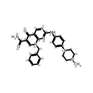 CN1CCN(c2ccc(Nc3ncc4c(=O)c(C(N)=O)cn(Cc5ccccc5)c4n3)cc2)CC1